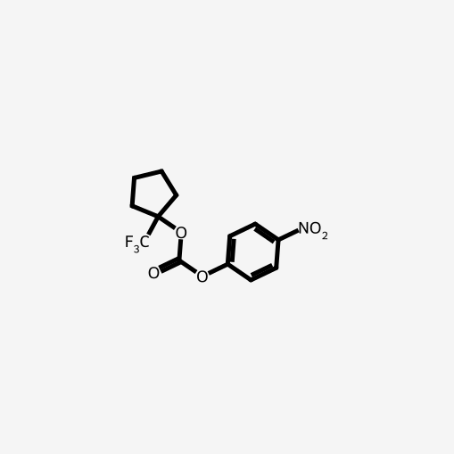 O=C(Oc1ccc([N+](=O)[O-])cc1)OC1(C(F)(F)F)CCCC1